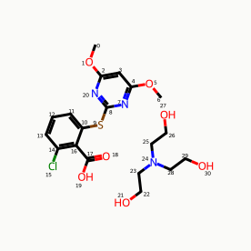 COc1cc(OC)nc(Sc2cccc(Cl)c2C(=O)O)n1.OCCN(CCO)CCO